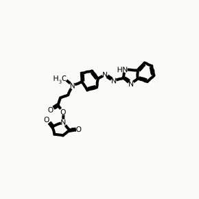 CN(CCC(=O)ON1C(=O)CCC1=O)c1ccc(N=Nc2nc3ccccc3[nH]2)cc1